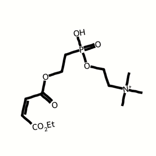 CCOC(=O)/C=C\C(=O)OCCP(=O)(O)OCC[N+](C)(C)C